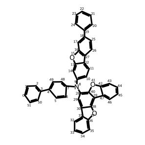 c1ccc(-c2ccc(N(c3ccc4c(c3)oc3cc(-c5ccccc5)ccc34)c3cc4c5ccccc5oc4c4c3oc3ccccc34)cc2)cc1